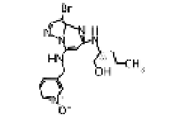 CCC[C@H](CO)Nc1cc(NCc2ccc[n+]([O-])c2)n2ncc(Br)c2n1